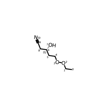 CCOOCC[C@@H](O)CC#N